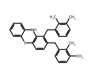 Cc1cccc(Cc2ccc3c(c2Cc2cccc(C)c2C)Nc2ccccc2S3)c1C